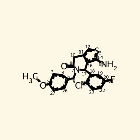 COc1ccc(CN2C(=O)Cc3csc(N)c3C2c2cc(F)ccc2Cl)cc1